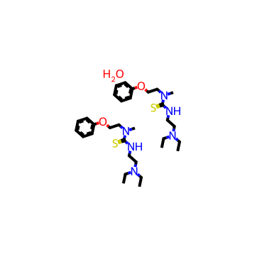 CCN(CC)CCNC(=S)N(C)CCOc1ccccc1.CCN(CC)CCNC(=S)N(C)CCOc1ccccc1.O